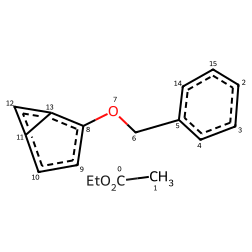 CCOC(C)=O.c1ccc(COc2ccc3cc2-3)cc1